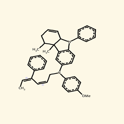 C/C=C(\C=C/CN(c1ccc(OC)cc1)c1ccc2c(c1)C1(C)C(C)CC=CC1N2c1ccccc1)c1ccccc1